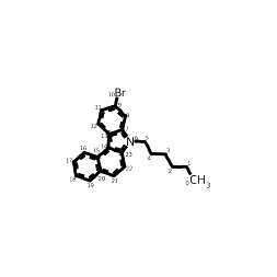 CCCCCCn1c2cc(Br)ccc2c2c3ccccc3ccc21